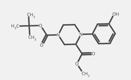 COC(=O)C1CN(C(=O)OC(C)(C)C)CCN1c1cccc(O)c1